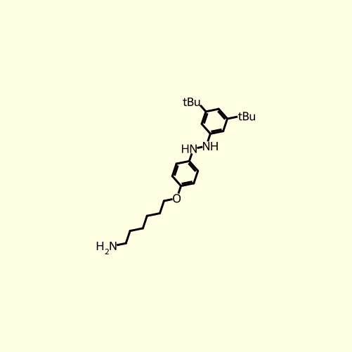 CC(C)(C)c1cc(NNc2ccc(OCCCCCCN)cc2)cc(C(C)(C)C)c1